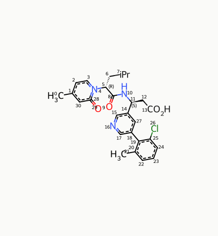 Cc1ccn([C@H](CC(C)C)C(=O)N[C@@H](CC(=O)O)c2cncc(-c3c(C)cccc3Cl)c2)c(=O)c1